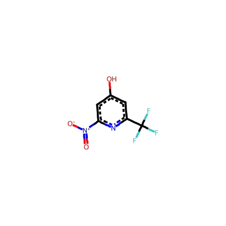 O=[N+]([O-])c1cc(O)cc(C(F)(F)F)n1